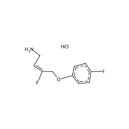 Cl.NC/C=C(/F)COc1ccc(I)cc1